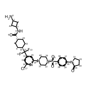 NC1CC(NC(=O)[C@H]2CC[C@H](C(F)(F)c3cc(Cl)nc(N4CCN(S(=O)(=O)c5ccc(N6CCCC6=O)cc5)CC4)c3)CC2)C1